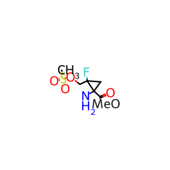 COC(=O)C1(N)CC1(F)COS(C)(=O)=O